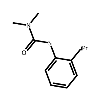 CC(C)c1ccccc1SC(=O)N(C)C